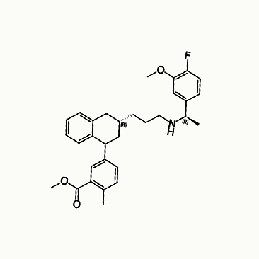 COC(=O)c1cc(C2C[C@@H](CCCN[C@H](C)c3ccc(F)c(OC)c3)Cc3ccccc32)ccc1C